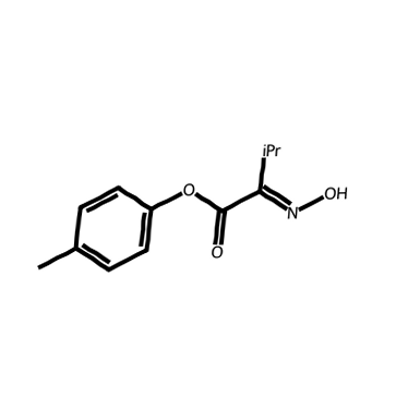 Cc1ccc(OC(=O)/C(=N/O)C(C)C)cc1